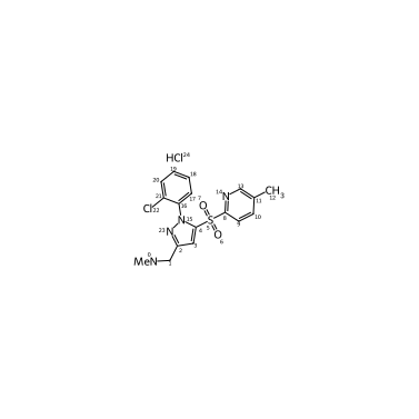 CNCc1cc(S(=O)(=O)c2ccc(C)cn2)n(-c2ccccc2Cl)n1.Cl